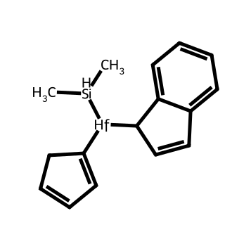 C[SiH](C)[Hf]([C]1=CC=CC1)[CH]1C=Cc2ccccc21